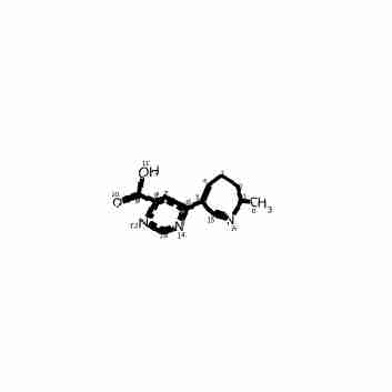 CC1CCC=C(c2cc(C(=O)O)ncn2)C=N1